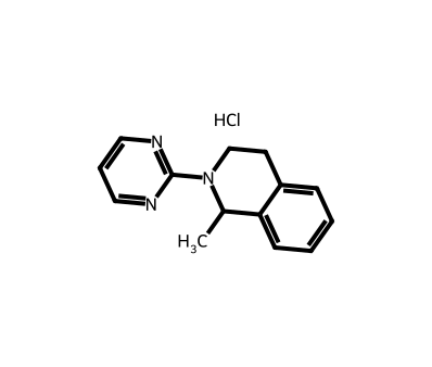 CC1c2ccccc2CCN1c1ncccn1.Cl